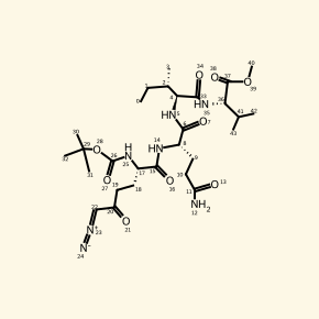 CC[C@H](C)[C@H](NC(=O)[C@H](CCC(N)=O)NC(=O)[C@H](CCC(=O)C=[N+]=[N-])NC(=O)OC(C)(C)C)C(=O)N[C@H](C(=O)OC)C(C)C